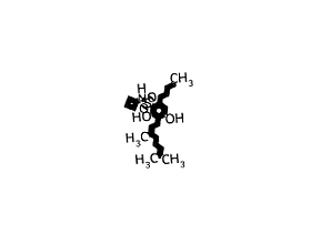 CCCCCc1cc(O)c(CC=C(C)CCC=C(C)C)c(O)c1S(=O)(=O)NC1CCC1